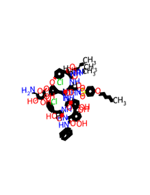 CCCCCCOc1ccc(S(=O)(=O)NC(=O)C[C@@H]2NC(=O)[C@H](NC(=O)[C@@H](CC(C)C)NC)[C@H](O)c3ccc(c(Cl)c3)Oc3cc4cc(c3O[C@@H]3O[C@H](CN)[C@@H](O)[C@H](O)[C@H]3O)Oc3ccc(cc3Cl)[C@@H](O)[C@@H]3NC(=O)[C@H](NC(=O)[C@@H]4NC2=O)c2ccc(O)c(c2)-c2c(O)cc(O)cc2[C@@H](C(=O)NC2C4CC5CC(C4)CC2C5)NC3=O)cc1